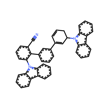 N#Cc1cccc(-n2c3ccccc3c3ccccc32)c1-c1cccc(C2=CC(n3c4ccccc4c4ccccc43)CC=C2)c1